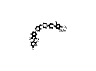 COc1cc(N2CCC(N3CCN(CC4CCN(c5ccc6c(c5)C(=O)N(C5CCC(=O)NC5=O)C6=O)CC4)CC3)CC2)c(C)cc1[N+](=O)[O-]